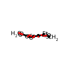 C=CC(=O)OCCCCCCOc1ccc(SC(=O)c2ccc(C#Cc3ccc(C#Cc4ccc(OCCSC(=O)C=C)c(CC)c4)cc3)cc2)cc1